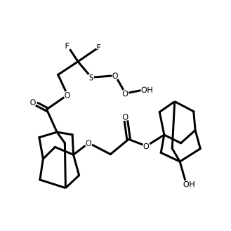 O=C(COC12CC3CC(C1)CC(C(=O)OCC(F)(F)SOOO)(C3)C2)OC12CC3CC(CC(O)(C3)C1)C2